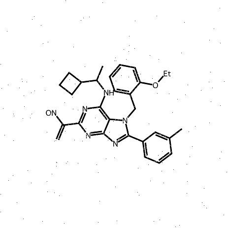 C=C(N=O)c1nc(NC(C)C2CCC2)c2c(n1)nc(-c1cccc(C)c1)n2Cc1ccccc1OCC